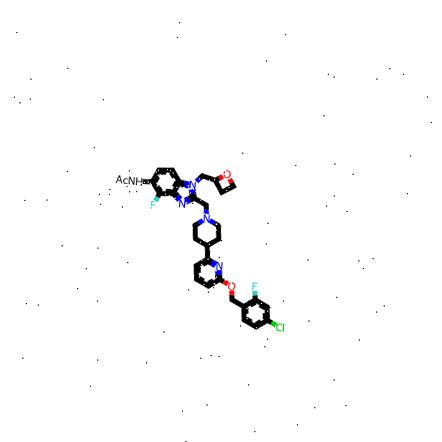 CC(=O)Nc1ccc2c(nc(CN3CCC(c4cccc(OCc5ccc(Cl)cc5F)n4)CC3)n2CC2CCO2)c1F